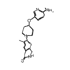 Cc1cc2c(nc1N1CCC(Oc3ccc(N)nc3)CC1)CNC2=O